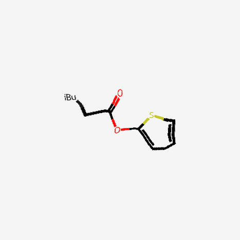 CCC(C)CC(=O)Oc1cccs1